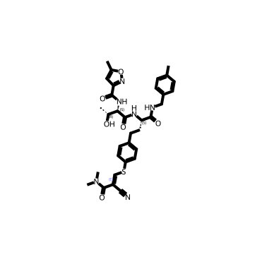 Cc1ccc(CNC(=O)[C@H](CCc2ccc(S/C=C(\C#N)C(=O)N(C)C)cc2)NC(=O)[C@@H](NC(=O)c2cc(C)on2)[C@@H](C)O)cc1